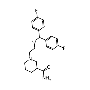 NC(=O)C1CCCN(CCOC(c2ccc(F)cc2)c2ccc(F)cc2)C1